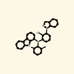 Cc1cccc(C)c1N(c1cccc(-n2ncc3ccccc32)c1Cl)c1cccc2c1oc1ccccc12